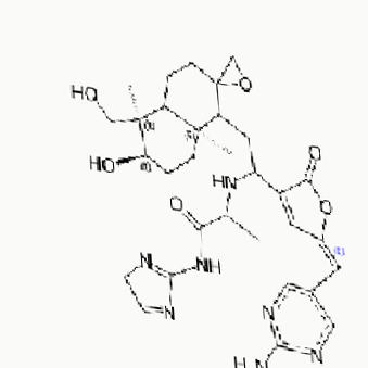 CC(NC(CC1C2(CCC3[C@]1(C)CC[C@@H](O)[C@@]3(C)CO)CO2)C1=C/C(=C\c2cnc(N)nc2)OC1=O)C(=O)NC1=NCC=N1